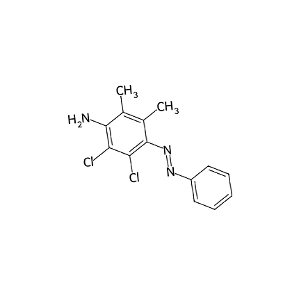 Cc1c(C)c(N=Nc2ccccc2)c(Cl)c(Cl)c1N